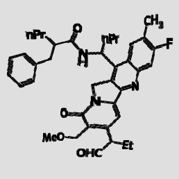 CCCC(Cc1ccccc1)C(=O)NC(CCC)c1c2c(nc3cc(F)c(C)cc13)-c1cc(C(C=O)CC)c(COC)c(=O)n1C2